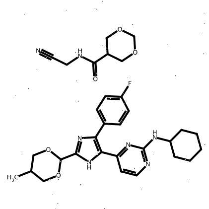 CC1COC(c2nc(-c3ccc(F)cc3)c(-c3ccnc(NC4CCCCC4)n3)[nH]2)OC1.N#CCNC(=O)C1COCOC1